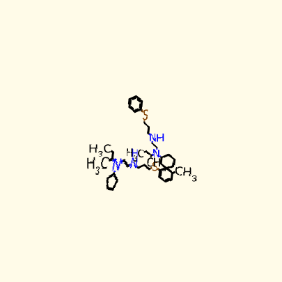 CCC(C)N(CCNCCCSC1=CC=CC(C)C12CCCC(N(CCNCCCSc1ccccc1)C(C)CC)C2)C1CCCC1